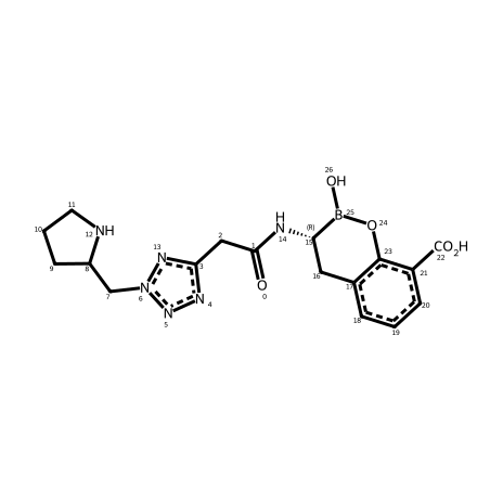 O=C(Cc1nnn(CC2CCCN2)n1)N[C@H]1Cc2cccc(C(=O)O)c2OB1O